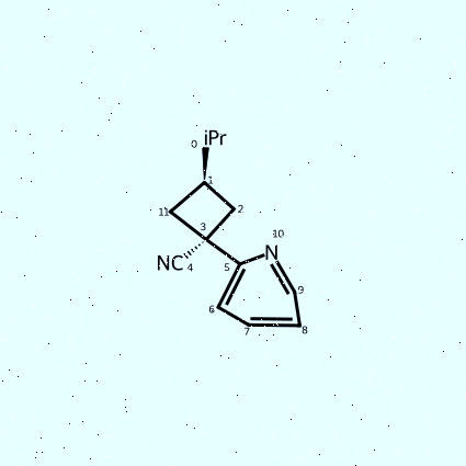 CC(C)[C@H]1C[C@@](C#N)(c2ccccn2)C1